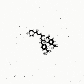 CC(CCC(=O)N1CCNCC1)CC(Cc1ccc(C(=O)O)cc1)C(=O)Nc1cc(C(=O)O)ccc1C(C)C